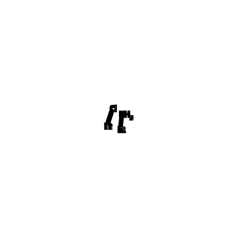 CCCl.CCN